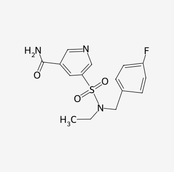 CCN(Cc1ccc(F)cc1)S(=O)(=O)c1cncc(C(N)=O)c1